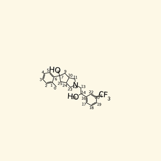 Cc1ccccc1C1(O)CC2CN(CC(O)c3cccc(C(F)(F)F)c3)CC2C1